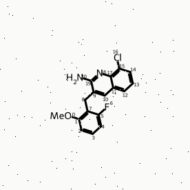 COc1cccc(F)c1Cc1cc2cccc(Cl)c2nc1N